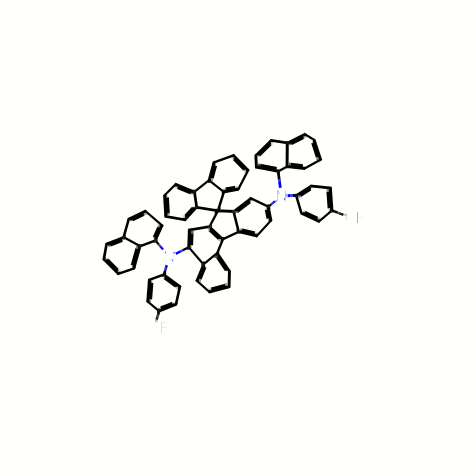 FC(F)(F)c1ccc(N(c2ccc3c(c2)C2(c4ccccc4-c4ccccc42)c2cc(N(c4ccc(C(F)(F)F)cc4)c4cccc5ccccc45)c4ccccc4c2-3)c2cccc3ccccc23)cc1